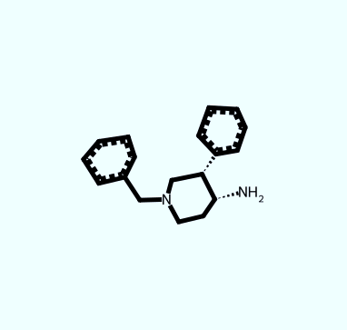 N[C@@H]1CCN(Cc2ccccc2)C[C@@H]1c1ccccc1